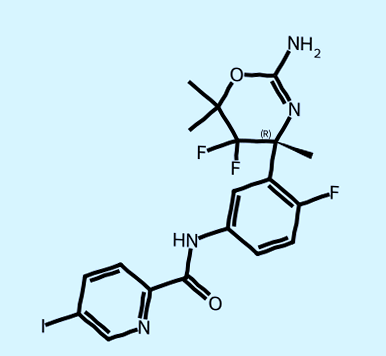 CC1(C)OC(N)=N[C@](C)(c2cc(NC(=O)c3ccc(I)cn3)ccc2F)C1(F)F